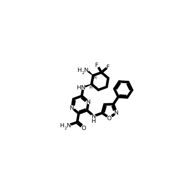 NC(=O)c1ncc(N[C@@H]2CCCC(F)(F)[C@@H]2N)nc1Nc1cc(-c2ccccc2)no1